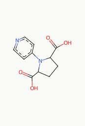 O=C(O)C1CCC(C(=O)O)N1c1ccncc1